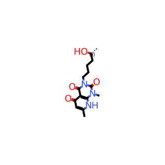 Cc1cc(=O)c2c(=O)n(CCCC[C@@H](C)O)c(=O)n(C)c2[nH]1